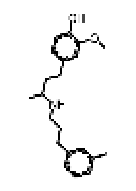 COc1cc(CCC(C)NCCCc2cccc(C)c2)ccc1O